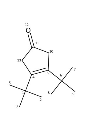 CC(C)(C)C1=C(C(C)(C)C)CC(=O)C1